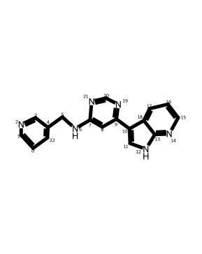 c1cncc(CNc2cc(-c3c[nH]c4ncccc34)ncn2)c1